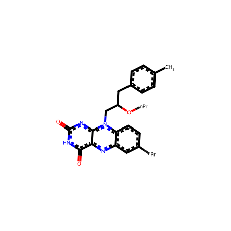 CCCOC(Cc1ccc(C)cc1)Cn1c2nc(=O)[nH]c(=O)c-2nc2cc(C(C)C)ccc21